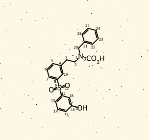 O=C(O)N(CCc1cccc(S(=O)(=O)c2cccc(O)c2)c1)Cc1ccccc1